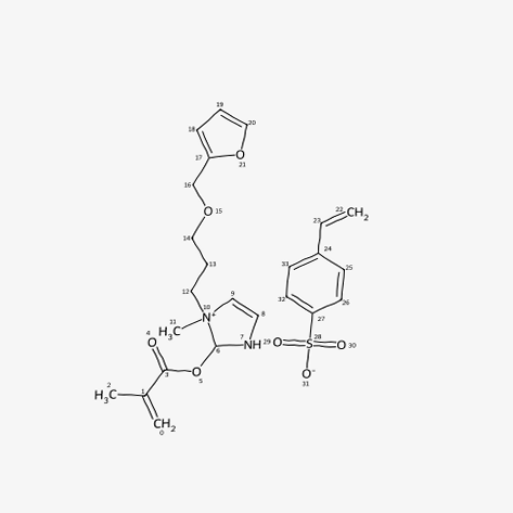 C=C(C)C(=O)OC1NC=C[N+]1(C)CCCOCc1ccco1.C=Cc1ccc(S(=O)(=O)[O-])cc1